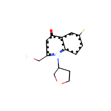 O=c1cc(CO)n(C2CCOC2)c2ccc(F)cc12